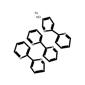 Cl.[Fe].c1ccc(-c2ccccn2)nc1.c1ccc(-c2ccccn2)nc1.c1ccc(-c2ccccn2)nc1